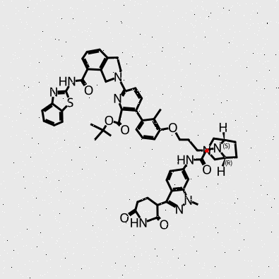 Cc1c(OCCCN2C[C@H]3CC[C@@H](C2)N3CC(=O)Nc2ccc3c(C4CCC(=O)NC4=O)nn(C)c3c2)cccc1-c1ccc(N2CCc3cccc(C(=O)Nc4nc5ccccc5s4)c3C2)nc1C(=O)OC(C)(C)C